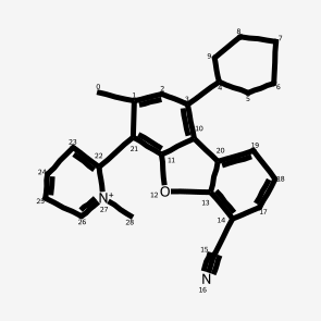 Cc1cc(C2CCCCC2)c2c(oc3c(C#N)cccc32)c1-c1cccc[n+]1C